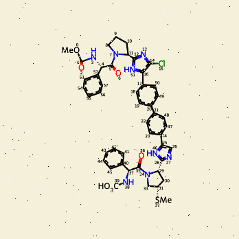 COC(=O)N[C@H](C(=O)N1CCC[C@H]1c1nc(Cl)c(-c2ccc(-c3ccc(-c4cnc([C@@H]5C[C@H](SC)CN5C(=O)[C@@H](NC(=O)O)c5ccccc5)[nH]4)cc3)cc2)[nH]1)c1ccccc1